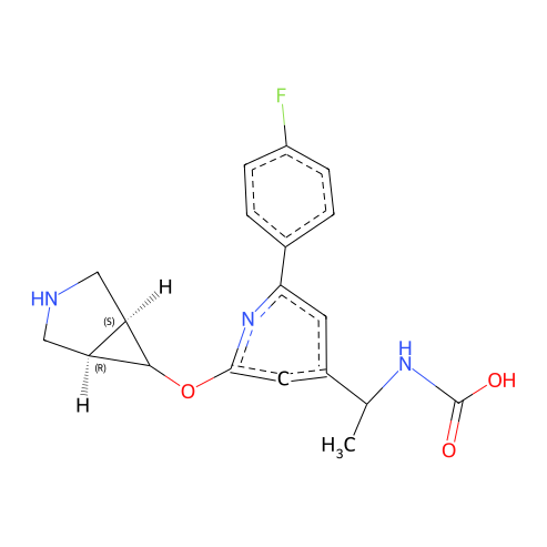 CC(NC(=O)O)c1cc(OC2[C@H]3CNC[C@@H]23)nc(-c2ccc(F)cc2)c1